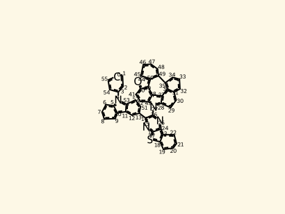 c1ccc(-n2c3ccccc3c3cc(-c4nc5sc6ccccc6c5nc4-n4c5ccc6cccc7c6c5c5c6c(ccc54)oc4cccc-7c46)ccc32)cc1